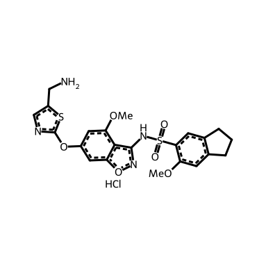 COc1cc2c(cc1S(=O)(=O)Nc1noc3cc(Oc4ncc(CN)s4)cc(OC)c13)CCC2.Cl